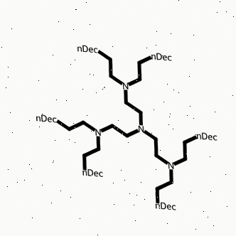 CCCCCCCCCCCCN(CCCCCCCCCCCC)CCN(CCN(CCCCCCCCCCCC)CCCCCCCCCCCC)CCN(CCCCCCCCCCCC)CCCCCCCCCCCC